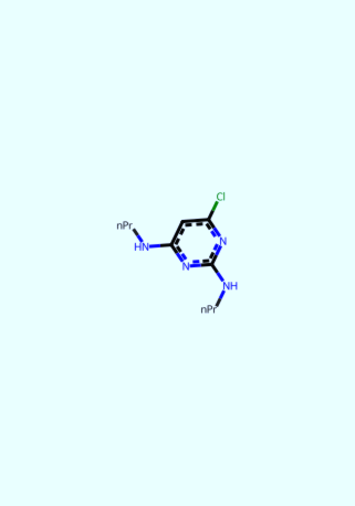 CCCNc1cc(Cl)nc(NCCC)n1